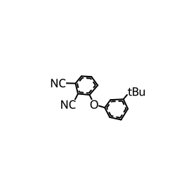 CC(C)(C)c1cccc(Oc2cccc(C#N)c2C#N)c1